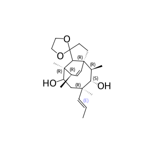 C/C=C/[C@@]1(C)CC(O)[C@@]2(C)C3C4(CC[C@@]3(C=C[C@H]2C)[C@@H](C)[C@@H]1O)OCCO4